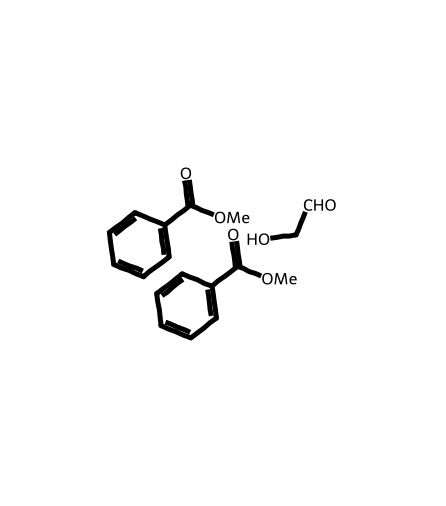 COC(=O)c1ccccc1.COC(=O)c1ccccc1.O=CCO